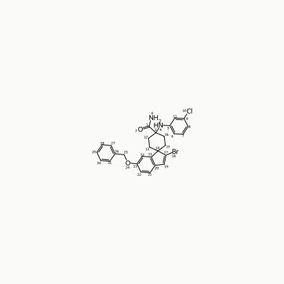 NC(=O)C1(Nc2cccc(Cl)c2)CCC2(CC1)C(Br)=Cc1ccc(OCc3ccccc3)cc12